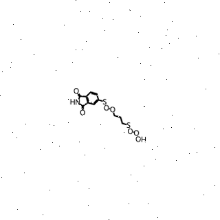 O=C1NC(=O)c2cc(SOOCCCSOOO)ccc21